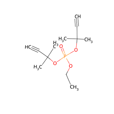 C#CC(C)(C)OP(=O)(OCC)OC(C)(C)C#C